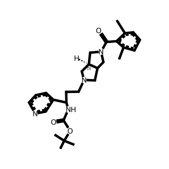 Cc1cccc(C)c1C(=O)N1CC2CN(CCC(NC(=O)OC(C)(C)C)c3cccnc3)C[C@H]2C1